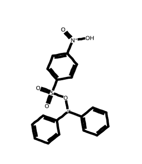 O=[N+](O)c1ccc(S(=O)(=O)O[I+](c2ccccc2)c2ccccc2)cc1